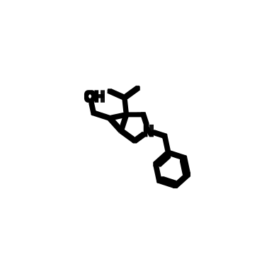 CC(C)C12CN(Cc3ccccc3)CC1C2CO